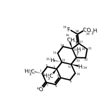 C[C@@H]1C[C@@]2(C)C(=CC1=O)CC[C@@H]1[C@@H]2CC[C@]2(C)C(=C(F)C(=O)O)CC[C@@H]12